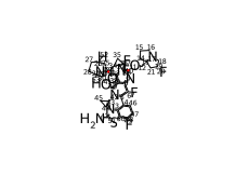 Nc1nc2c(-c3c(F)c4nc(OC[C@@]56CCCN5C[C@H](F)C6)nc(N5C[C@H]6CC[C@@H](C5)N6C(=O)C5CC5(F)F)c4c(=O)n3C3CC3)ccc(F)c2s1